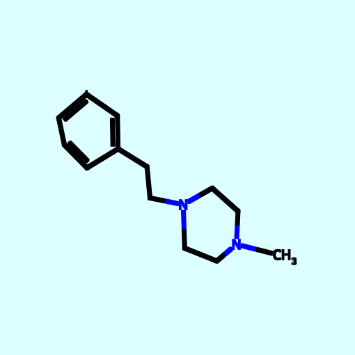 CN1CCN(CCc2c[c]ccc2)CC1